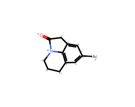 CC(=O)c1cc2c3c(c1)CC(=O)N3CCC2